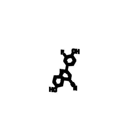 N#Cc1cc(-c2ccc(O)c(F)c2)nc2ccc(O)cc12